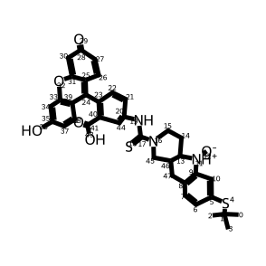 CC(C)(C)Sc1ccc2c(c1)[NH+]([O-])C1CCN(C(=S)Nc3ccc(-c4c5ccc(=O)cc-5oc5cc(O)ccc45)c(C(=O)O)c3)CC1C2